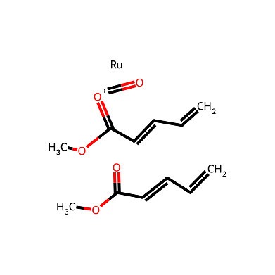 C=CC=CC(=O)OC.C=CC=CC(=O)OC.[C]=O.[Ru]